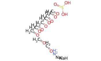 C=O.C=O.C=O.C=O.C=O.C=O.C=O.C=O.C=O.C=O.O=S(O)O.[NH2-].[Na+].[NaH]